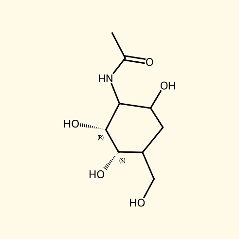 CC(=O)NC1C(O)CC(CO)[C@H](O)[C@@H]1O